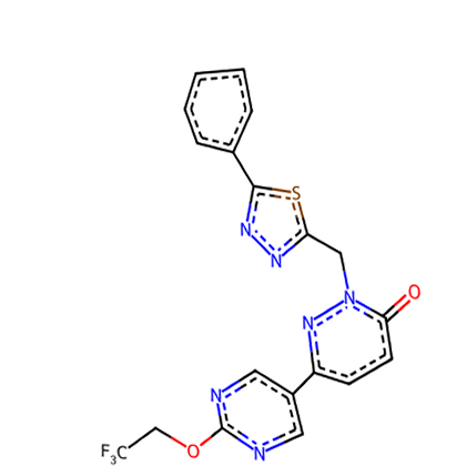 O=c1ccc(-c2cnc(OCC(F)(F)F)nc2)nn1Cc1nnc(-c2ccccc2)s1